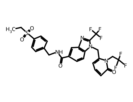 CCS(=O)(=O)c1ccc(CNC(=O)c2ccc3c(c2)nc(C(F)(F)F)n3Cc2cccc(=O)n2CC(F)(F)F)cc1